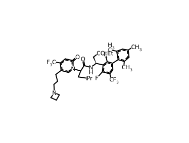 CCOC(=O)C[C@H](NC(=O)C(CC(C)C)n1cc(CCCN2CCC2)c(C(F)(F)F)cc1=O)c1c(F)c(-c2c(C)cc(C)cc2C)cc(C(F)(F)F)c1F